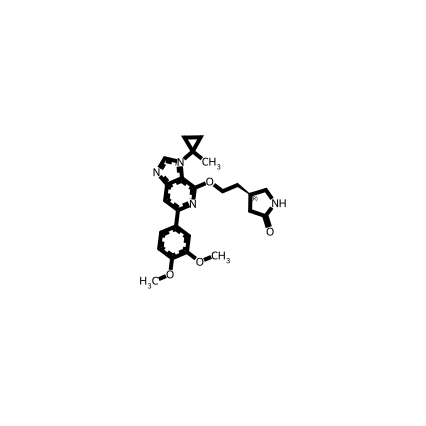 COc1ccc(-c2cc3ncn(C4(C)CC4)c3c(OCC[C@H]3CNC(=O)C3)n2)cc1OC